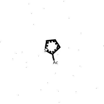 CC(=O)c1cc[c]s1